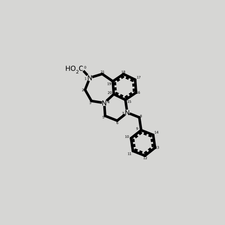 O=C(O)N1CCN2CCN(Cc3ccccc3)c3cccc(c32)C1